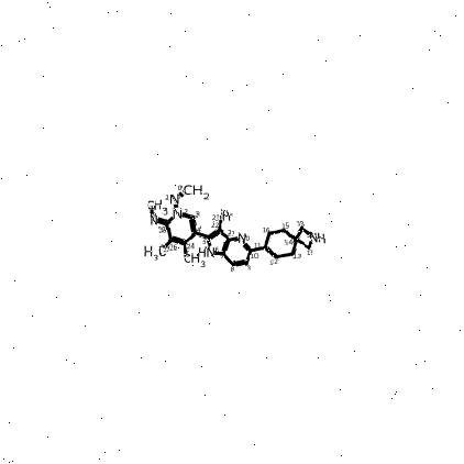 C=Nn1cc(-c2[nH]c3ccc(C4CCC5(CC4)CNC5)nc3c2C(C)C)c(C)c(C)/c1=N/C